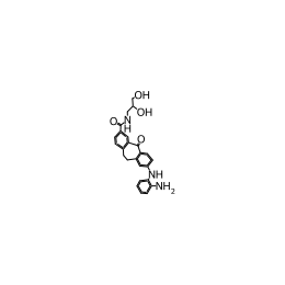 Nc1ccccc1Nc1ccc2c(c1)CCc1ccc(C(=O)NCC(O)CO)cc1C2=O